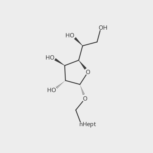 CCCCCCCCO[C@H]1O[C@H]([C@@H](O)CO)[C@H](O)[C@H]1O